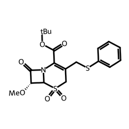 CO[C@@H]1C(=O)N2C(C(=O)OC(C)(C)C)=C(CSc3ccccc3)CS(=O)(=O)C12